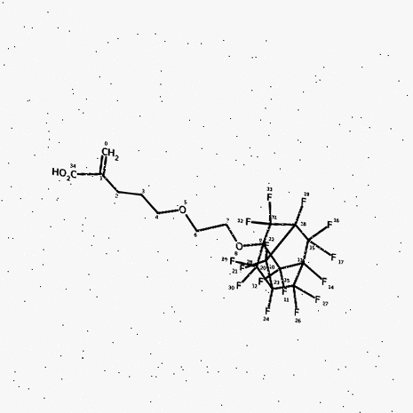 C=C(CCCOCCOC12C(F)(F)C3(F)C(F)(F)C(F)(C(F)(F)C(F)(C3(F)F)C1(F)F)C2(F)F)C(=O)O